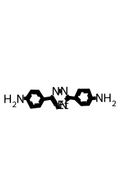 CC\C=C(/N=N\C(=N/C)c1ccc(N)cc1)c1ccc(N)cc1